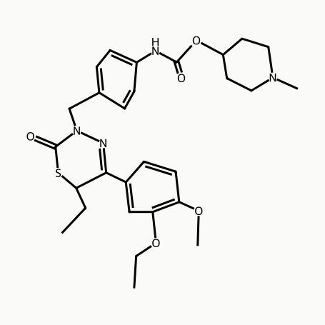 CCOc1cc(C2=NN(Cc3ccc(NC(=O)OC4CCN(C)CC4)cc3)C(=O)SC2CC)ccc1OC